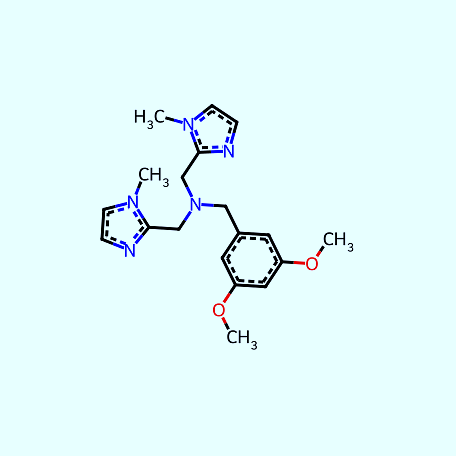 COc1cc(CN(Cc2nccn2C)Cc2nccn2C)cc(OC)c1